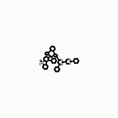 O=S1(=O)c2ccccc2-c2c1ccc1c2-c2ccccc2C12c1ccccc1-c1ccccc1-c1ccc(-c3cc(-c4ccccc4)nc(-c4cnc(-c5ccccc5)nc4)n3)cc12